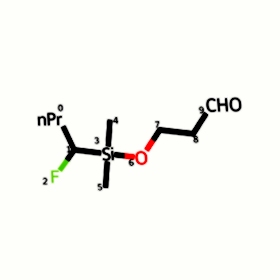 CCCC(F)[Si](C)(C)OCCC=O